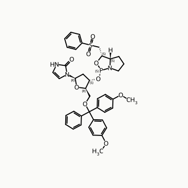 COc1ccc(C(OC[C@H]2O[C@@H](n3cc[nH]c3=O)C[C@@H]2O[P@]2O[C@H](CS(=O)(=O)c3ccccc3)[C@@H]3CCCN32)(c2ccccc2)c2ccc(OC)cc2)cc1